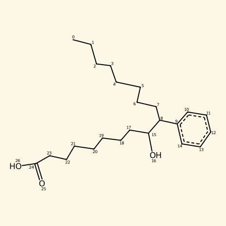 CCCCCCCCC(c1ccccc1)C(O)CCCCCCCC(=O)O